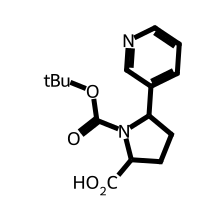 CC(C)(C)OC(=O)N1C(C(=O)O)CCC1c1cccnc1